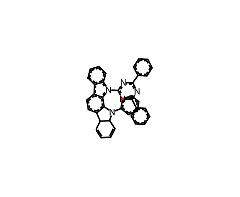 C1=CC2c3ccc4c5ccccc5n(-c5nc(-c6ccccc6)nc(-c6ccccc6)n5)c4c3N(c3ccccc3)C2C=C1